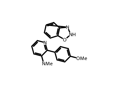 CNc1cccnc1-c1ccc(OC)cc1.c1cc2cc3c1o[nH]n2-3